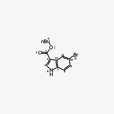 CCCCOC(=O)c1c[nH]c2ccc(Br)cc12